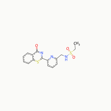 CCS(=O)(=O)NCc1cccc(-c2nc(=O)c3ccccc3s2)n1